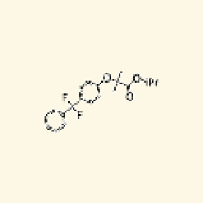 CC(C)OC(=O)C(C)(C)Oc1ccc(C(F)(F)c2ccccc2)cc1